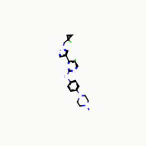 CN1CCN(c2ccc(Nc3ncc(Cl)c(-c4cnn(CC5(Cl)CC5)c4)n3)cc2)CC1